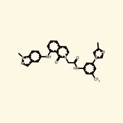 Cc1cn(-c2cc(NC(=O)Cn3ccc4cccc(Nc5ccc6c(cnn6C)c5)c4c3=O)cc(C(F)(F)F)c2)cn1